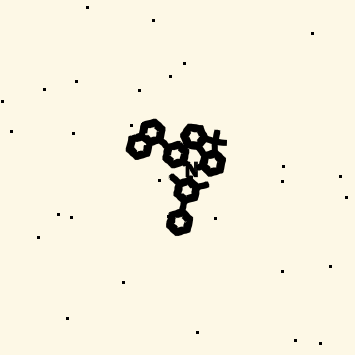 Cc1cc(-c2ccccc2)cc(C)c1N(c1ccc(-c2cccc3ccccc23)cc1)c1cccc2c1-c1ccccc1C2(C)C